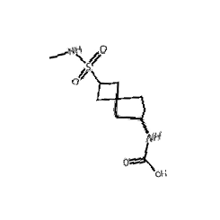 CNS(=O)(=O)C1CC2(CC(NC(=O)O)C2)C1